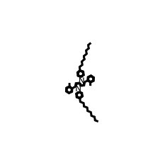 CCCCCCCCCCc1ccc(-n2c(-c3ccccc3C)cc3c2cc(-c2ccccc2C)n3-c2ccc(CCCCCCCCCC)cc2)cc1